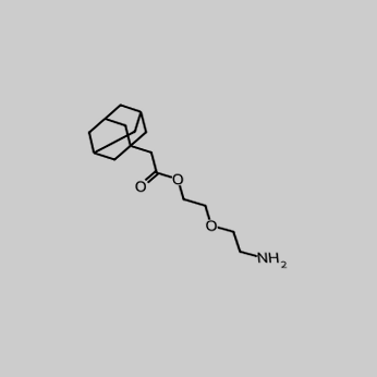 NCCOCCOC(=O)CC12CC3CC(CC(C3)C1)C2